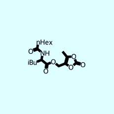 CCCCCCC(=O)NC(C(=O)OCc1oc(=O)oc1C)C(C)CC